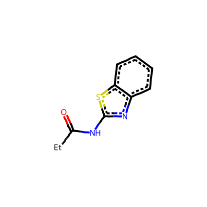 CCC(=O)Nc1nc2ccccc2s1